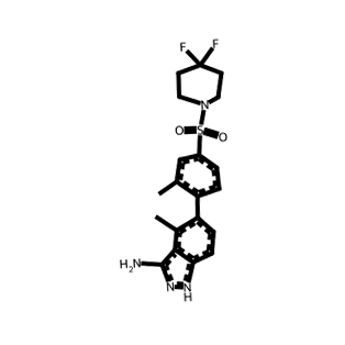 Cc1cc(S(=O)(=O)N2CCC(F)(F)CC2)ccc1-c1ccc2[nH]nc(N)c2c1C